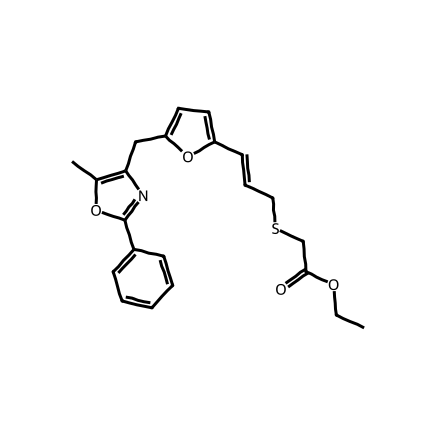 CCOC(=O)CSCC=Cc1ccc(Cc2nc(-c3ccccc3)oc2C)o1